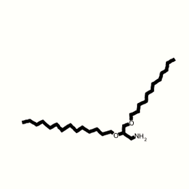 CCCCCCCCCCCCCCOC(CN)COCCCCCCCCCCCC